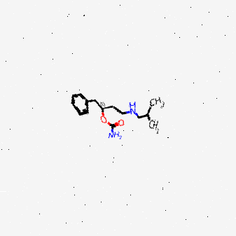 CC(C)CNCC[C@H](Cc1ccccc1)OC(N)=O